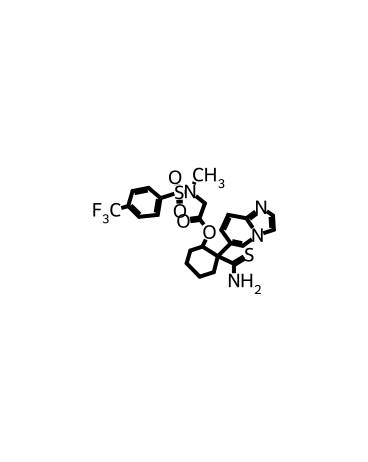 CN(CC(=O)OC1CCCCC1(C(N)=S)c1ccc2nccn2c1)S(=O)(=O)c1ccc(C(F)(F)F)cc1